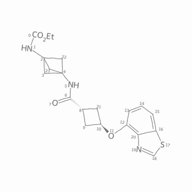 CCOC(=O)NC12CC(NC(=O)[C@H]3C[C@H](Oc4cccc5scnc45)C3)(C1)C2